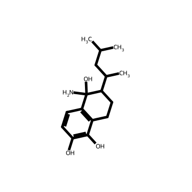 CC(C)CC(C)C1CCc2c(ccc(O)c2O)C1(N)O